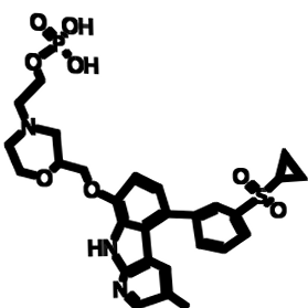 Cc1cnc2[nH]c3c(OCC4CN(CCOP(=O)(O)O)CCO4)ccc(-c4cccc(S(=O)(=O)C5CC5)c4)c3c2c1